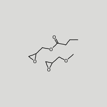 CCCC(=O)OCC1CO1.COCC1CO1